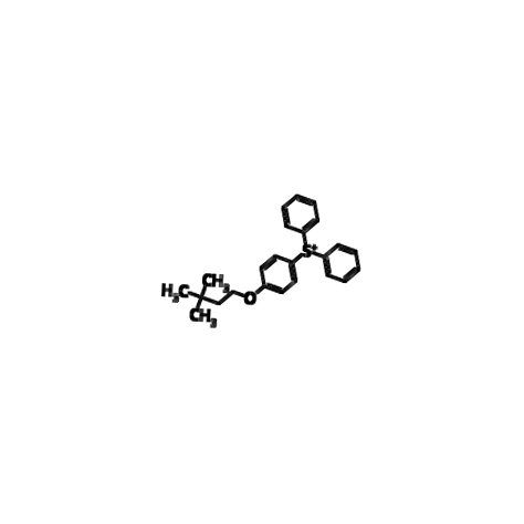 CC(C)(C)CCOc1ccc([S+](c2ccccc2)c2ccccc2)cc1